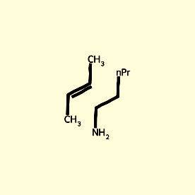 CC=CC.CCCCCN